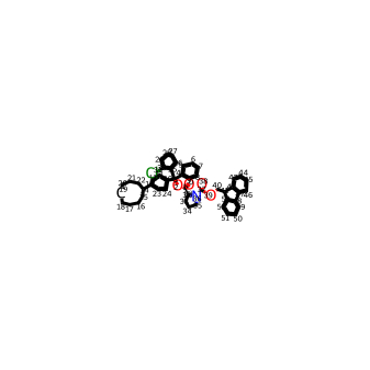 O=C(OC(c1ccccc1)(c1ccc(C2CCCCCCCC2)cc1)c1ccccc1Cl)[C@@H]1CCCN1C(=O)OCC1c2ccccc2-c2ccccc21